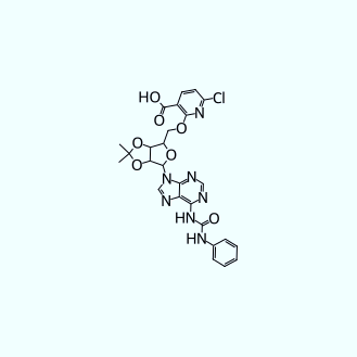 CC1(C)OC2C(COc3nc(Cl)ccc3C(=O)O)OC(n3cnc4c(NC(=O)Nc5ccccc5)ncnc43)C2O1